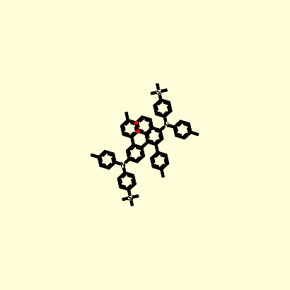 Cc1ccc(-c2cc(N(c3ccc(C)cc3)c3ccc([Si](C)(C)C)cc3)ccc2-c2c(-c3ccc(C)cc3)cc(N(c3ccc(C)cc3)c3ccc([Si](C)(C)C)cc3)c3ccccc23)cc1